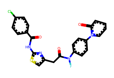 O=C(Nc1nc(CC(=O)N(F)c2ccc(-n3ccccc3=O)cc2)cs1)c1ccc(Cl)cc1